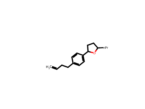 C=CCCc1ccc(C2CCC(CCC)O2)cc1